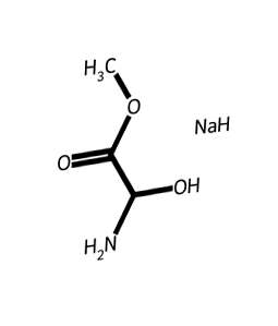 COC(=O)C(N)O.[NaH]